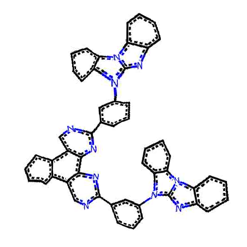 c1cc(-c2ncc3c4ccccc4c4cnc(-c5cccc(-n6c7ccccc7n7c8ccccc8nc67)c5)nc4c3n2)cc(-n2c3ccccc3n3c4ccccc4nc23)c1